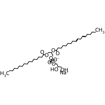 CCCCCC=CCC=CCCCCCCCC(=O)OC(COC(=O)CCCCCCCCCCCCCCC)COP(=O)([O-])OCC(O)CO.[Na+]